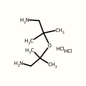 CC(C)(CN)OC(C)(C)CN.Cl.Cl